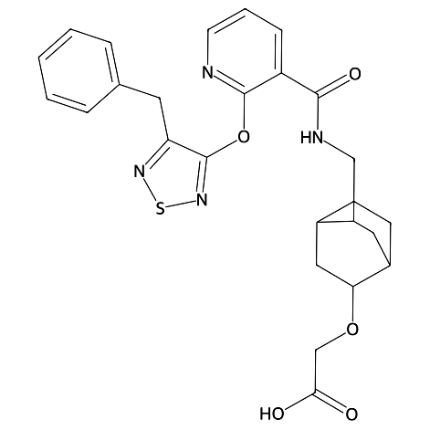 O=C(O)COC1CC2CCC1CC2CNC(=O)c1cccnc1Oc1nsnc1Cc1ccccc1